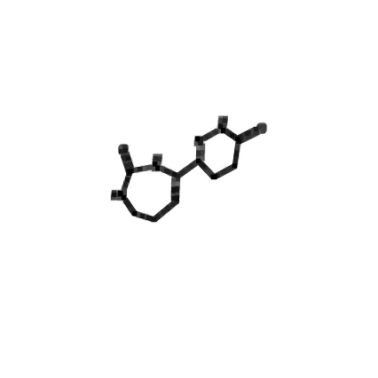 O=C1CCC(C2=CCCNC(=O)N2)=NN1